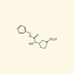 O=C(OCc1ccccc1)C(O)C1CCCN(C(=O)O)C1